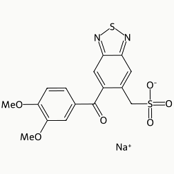 COc1ccc(C(=O)c2cc3nsnc3cc2CS(=O)(=O)[O-])cc1OC.[Na+]